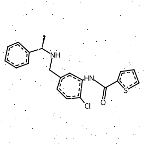 C[C@@H](NCc1ccc(Cl)c(NC(=O)c2cccs2)c1)c1ccccc1